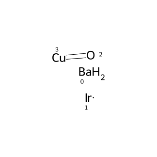 [BaH2].[Ir].[O]=[Cu]